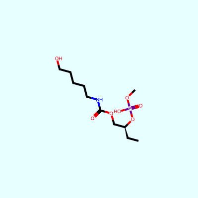 CC[C@@H](COC(=O)NCCCCCO)OP(=O)(O)OC